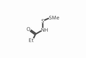 CCC(=O)NSSC